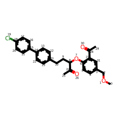 COCc1ccc(OC(CCc2ccc(-c3ccc(Cl)cc3)cc2)C(C)=O)c(C(C)=O)c1